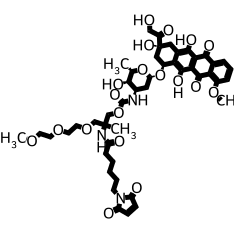 COCCOCCOCC(C)(COC(=O)N[C@@H]1C[C@@H](O[C@H]2C[C@@](O)(C(=O)CO)Cc3c(O)c4c(c(O)c32)C(=O)c2c(OC)cccc2C4=O)O[C@H](C)[C@@H]1O)NC(=O)CCCCCN1C(=O)C=CC1=O